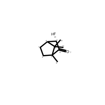 CC12CCC(CC1=O)C2(C)C.F